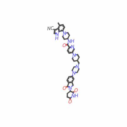 Cc1ccc(N2CCC(NC(=O)c3ccc(N4CCC(CN5CCN(c6ccc7c(c6)CN(C6CCC(=O)NC6=O)C7=O)CC5)CC4)cn3)CC2)c2[nH]cc(C#N)c12